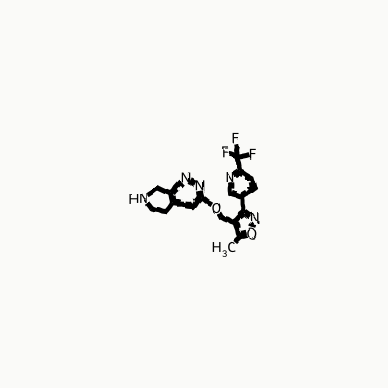 Cc1onc(-c2ccc(C(F)(F)F)nc2)c1COc1cc2c(nn1)CNCC2